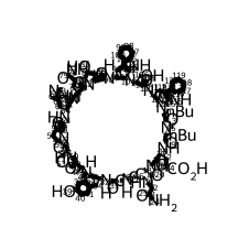 CCCC[C@H]1C(=O)N(C)[C@@H](CCCC)C(=O)N[C@@H](CCC(=O)O)C(=O)N[C@H](C(=O)NCC(N)=O)CCNCC(=O)N[C@@H](Cc2ccc(O)cc2)C(=O)N(C)[C@@H](C)C(=O)N[C@@H](CC(=O)O)C(=O)N2CCC[C@H]2C(=O)N[C@@H](Cc2cnc[nH]2)C(=O)N[C@@H](CCC(N)=O)C(=O)N2C[C@H](O)C[C@H]2C(=O)N[C@@H](Cc2c[nH]c3ccccc23)C(=O)N[C@@H](CO)C(=O)N[C@@H](Cc2c[nH]c3ccccc23)C(=O)N1C